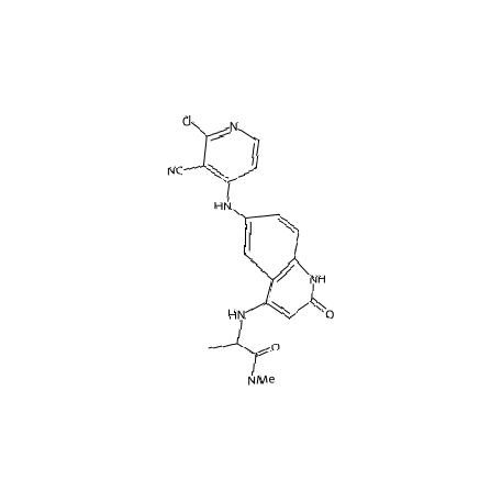 CNC(=O)C(C)Nc1cc(=O)[nH]c2ccc(Nc3ccnc(Cl)c3C#N)cc12